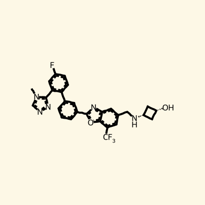 Cn1cnnc1-c1cc(F)ccc1-c1cccc(-c2nc3cc(CN[C@H]4C[C@@H](O)C4)cc(C(F)(F)F)c3o2)c1